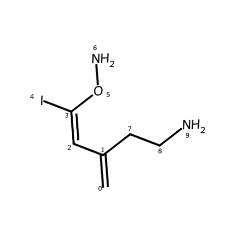 C=C(/C=C(/I)ON)CCN